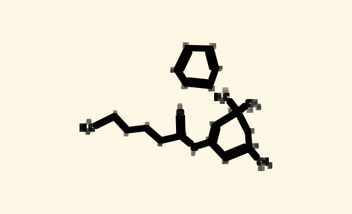 CCCCCC(=O)OC1=CC(C)(C)CC(C)=C1.c1ccccc1